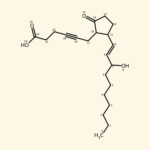 CCCCCCCC(O)/C=C/C1CCC(=O)C1CC#CCCC(=O)O